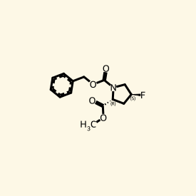 COC(=O)[C@H]1C[C@H](F)CN1C(=O)OCc1ccccc1